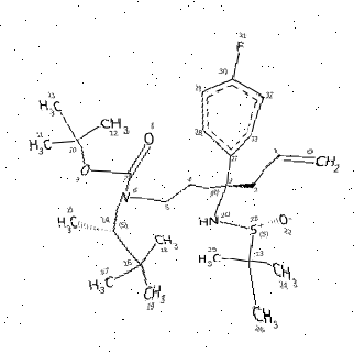 C=CC[C@](CCN(C(=O)OC(C)(C)C)[C@@H](C)C(C)(C)C)(N[S@+]([O-])C(C)(C)C)c1ccc(F)cc1